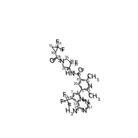 Cc1nc(C)c(-c2cc(C(F)(F)F)c3c(N)ncnn23)cc1C(=O)N[C@@H]1CN(C(=O)C2CC2(F)F)C[C@@H]1F